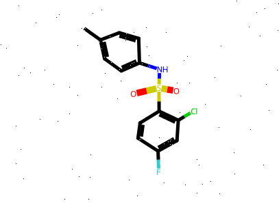 [CH2]c1ccc(NS(=O)(=O)c2ccc(F)cc2Cl)cc1